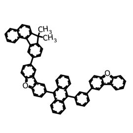 CC1(C)c2ccc(-c3ccc4oc5ccc(-c6c7ccccc7c(-c7cccc(-c8ccc9oc%10ccccc%10c9c8)c7)c7ccccc67)cc5c4c3)cc2-c2c1ccc1ccccc21